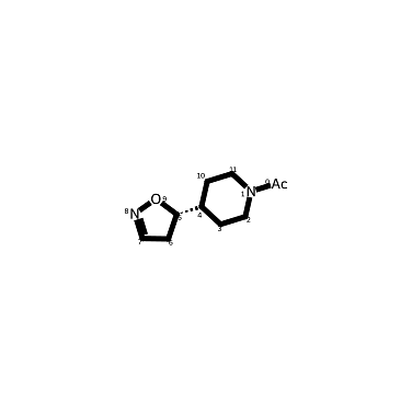 CC(=O)N1CCC([C@@H]2CC=NO2)CC1